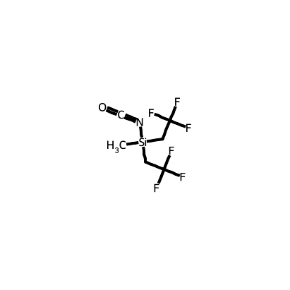 C[Si](CC(F)(F)F)(CC(F)(F)F)N=C=O